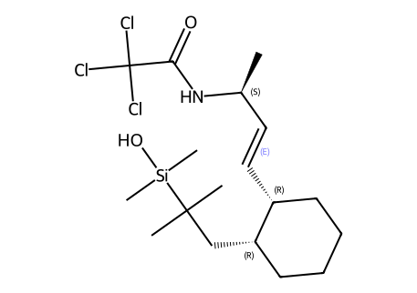 C[C@@H](/C=C/[C@@H]1CCCC[C@@H]1CC(C)(C)[Si](C)(C)O)NC(=O)C(Cl)(Cl)Cl